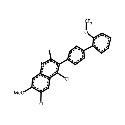 COc1cc2nc(C)c(-c3ccc(-c4ccccc4OC(F)(F)F)cc3)c(Cl)c2cc1Cl